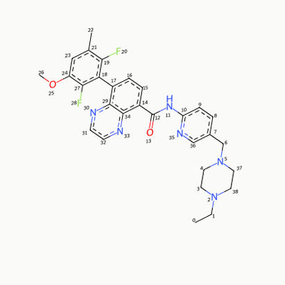 CCN1CCN(Cc2ccc(NC(=O)c3ccc(-c4c(F)c(C)cc(OC)c4F)c4nccnc34)nc2)CC1